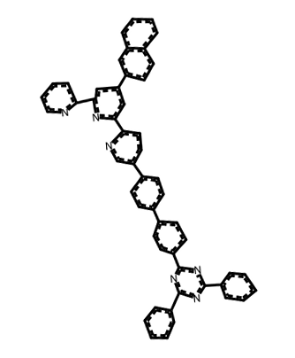 c1ccc(-c2nc(-c3ccccc3)nc(-c3ccc(-c4ccc(-c5ccc(-c6cc(-c7ccc8ccccc8c7)cc(-c7ccccn7)n6)nc5)cc4)cc3)n2)cc1